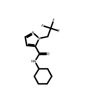 O=C(NC1CCCCC1)c1ccnn1CC(F)(F)F